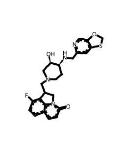 O=c1ccc2ccc(F)c3c2n1CC3CN1CC[C@H](NCc2cc3c(cn2)OCS3)[C@H](O)C1